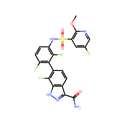 COc1ncc(F)cc1S(=O)(=O)Nc1ccc(F)c(-c2ccc3c(C(N)=O)n[nH]c3c2F)c1F